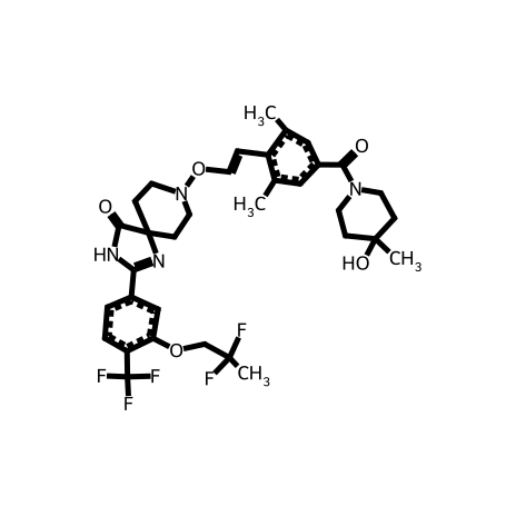 Cc1cc(C(=O)N2CCC(C)(O)CC2)cc(C)c1/C=C/ON1CCC2(CC1)N=C(c1ccc(C(F)(F)F)c(OCC(C)(F)F)c1)NC2=O